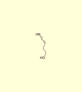 N=C=CCCO